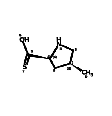 C[C@H]1CN[C@H](C(O)=S)C1